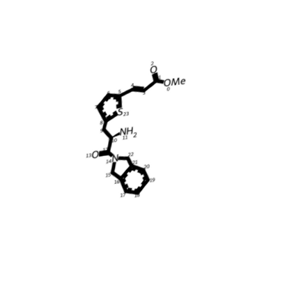 COC(=O)C=Cc1ccc(C[C@@H](N)C(=O)N2Cc3ccccc3C2)s1